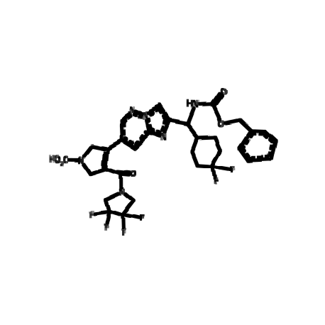 O=C(NC(c1cn2ncc(C3=C(C(=O)N4CC(F)(F)C(F)(F)C4)CN(C(=O)O)C3)cc2n1)C1CCC(F)(F)CC1)OCc1ccccc1